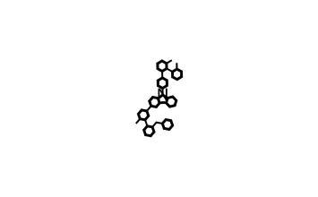 Cc1ccc(-c2ccc3c(c2)c2ccccc2n3-c2ccc(-c3cccc(C)c3-c3ccccc3C)cc2)cc1-c1ccccc1Cc1ccccc1